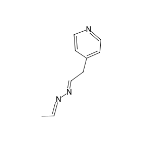 CC=NN=CCc1ccncc1